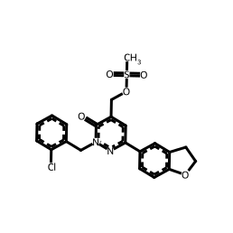 CS(=O)(=O)OCc1cc(-c2ccc3c(c2)CCO3)nn(Cc2ccccc2Cl)c1=O